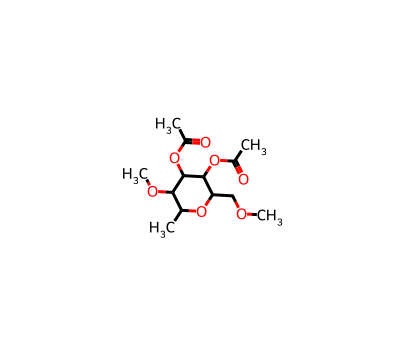 COCC1OC(C)C(OC)C(OC(C)=O)C1OC(C)=O